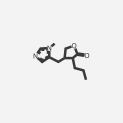 CCCC1C(=O)OCC1Cc1cncn1C